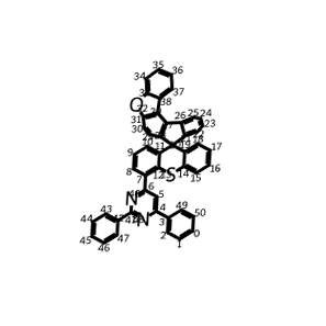 c1ccc(-c2cc(-c3cccc4c3Sc3ccccc3C43c4ccccc4-c4c3ccc3oc5ccccc5c43)nc(-c3ccccc3)n2)cc1